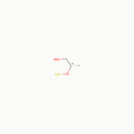 C[C@@H](CO)OS